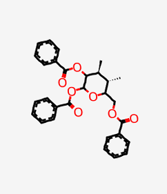 C[C@@H]1C(COC(=O)c2ccccc2)OC(OC(=O)c2ccccc2)C(OC(=O)c2ccccc2)[C@H]1C